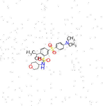 CC(C)c1ccc(S(=O)(=O)c2ccc(N(C)C)cc2)cc1S(=O)(=O)NC1CCOCC1